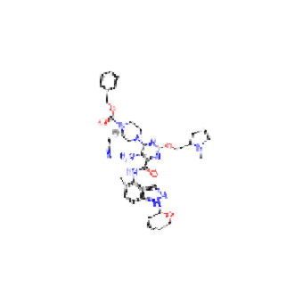 Cc1ccc2c(cnn2C2CCCCO2)c1NC(=O)c1nc(OCC2CCCN2C)nc(N2CCN(C(=O)OCc3ccccc3)[C@@H](CC#N)C2)c1N